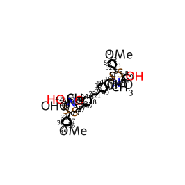 COc1ccc(C2SC3(CO)C=C3N(C)[C@@](C=O)(Cc3ccc(CCc4ccc(CC5SC(c6ccc(OC)cc6)S[C@@](C=O)(CO)N(C)C5=O)cc4)cc3)S2)cc1